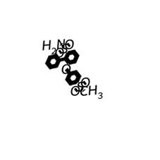 CS(=O)(=O)c1ccc(Oc2cccc(S(N)(=O)=O)c2-c2ccccc2)cc1